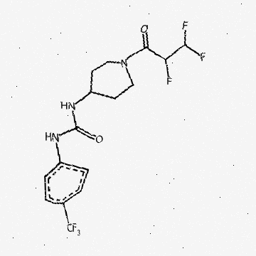 O=C(Nc1ccc(C(F)(F)F)cc1)NC1CCN(C(=O)C(F)C(F)F)CC1